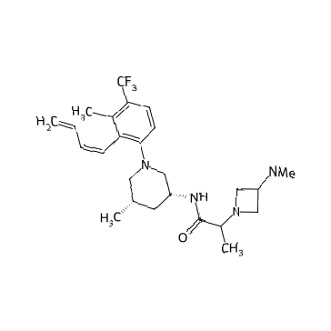 C=C/C=C\c1c(N2C[C@@H](C)C[C@@H](NC(=O)C(C)N3CC(NC)C3)C2)ccc(C(F)(F)F)c1C